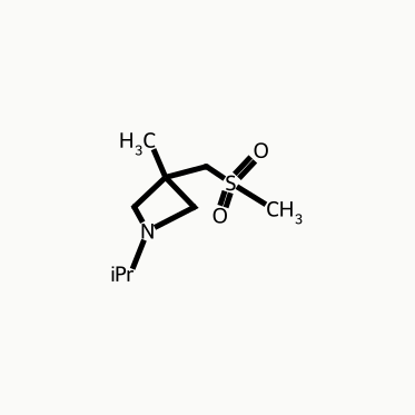 CC(C)N1CC(C)(CS(C)(=O)=O)C1